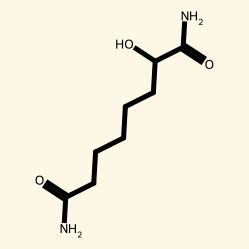 NC(=O)CCCCCC(O)C(N)=O